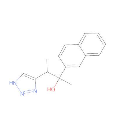 CC(c1c[nH]nn1)C(C)(O)c1ccc2ccccc2c1